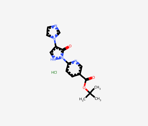 CC(C)(C)OC(=O)c1ccc(-n2[nH]cc(-n3ccnc3)c2=O)nc1.Cl